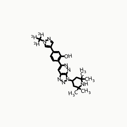 [2H]C([2H])([2H])n1cc(-c2ccc(-c3cc4nnn(C5CC(C)(C)NC(C)(C)C5)c4nn3)c(O)c2)cn1